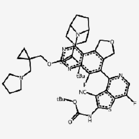 CC(C)(C)OC(=O)Nc1sc2c(F)cnc(-c3c4c(c5c(N6C7CCC6CN(C(=O)OC(C)(C)C)C7)nc(OCC6(CN7CCCC7)CC6)nc5c3F)COC4)c2c1C#N